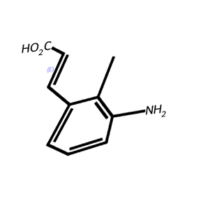 Cc1c(N)cccc1/C=C/C(=O)O